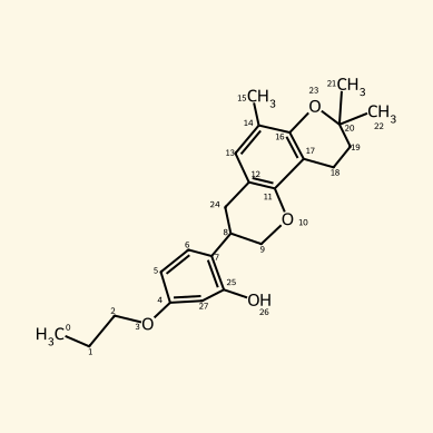 CCCOc1ccc(C2COc3c(cc(C)c4c3CCC(C)(C)O4)C2)c(O)c1